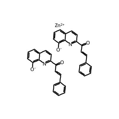 O=C(C=Cc1ccccc1)c1ccc2cccc([O-])c2n1.O=C(C=Cc1ccccc1)c1ccc2cccc([O-])c2n1.[Zn+2]